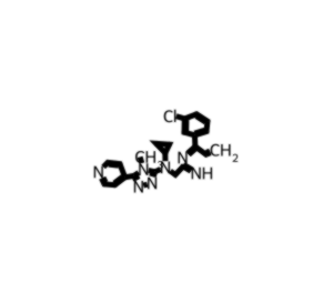 C=C/C(=N\C(=N)CN(c1nnc(-c2ccncc2)n1C)C1CC1)c1cccc(Cl)c1